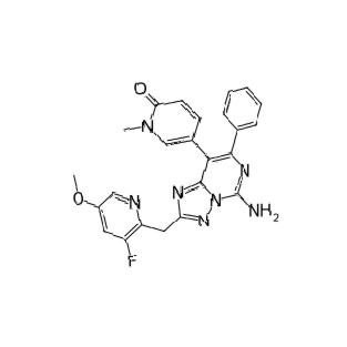 COc1cnc(Cc2nc3c(-c4ccc(=O)n(C)c4)c(-c4ccccc4)nc(N)n3n2)c(F)c1